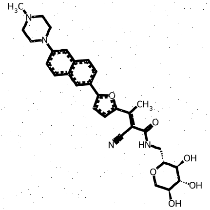 C/C(=C(/C#N)C(=O)NC[C@H]1OC[C@H](O)[C@@H](O)[C@@H]1O)c1ccc(-c2ccc3cc(N4CCN(C)CC4)ccc3c2)o1